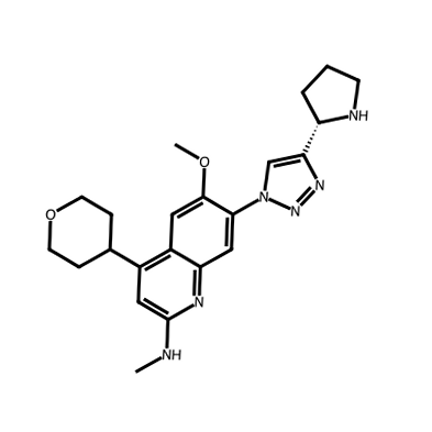 CNc1cc(C2CCOCC2)c2cc(OC)c(-n3cc([C@@H]4CCCN4)nn3)cc2n1